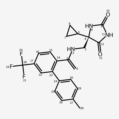 C=C(NC[C@@]1(C2CC2)NC(=O)NC1=O)c1ccc(C(F)(F)F)cc1-c1ccc(C)cc1